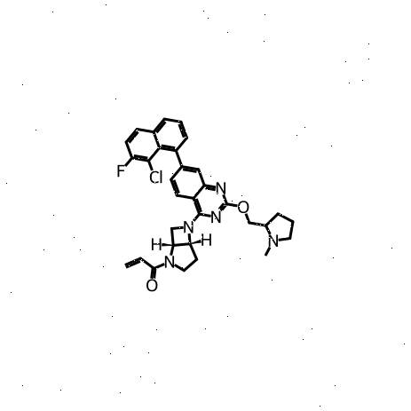 C=CC(=O)N1CC[C@@H]2[C@H]1CN2c1nc(OCC2CCCN2C)nc2cc(-c3cccc4ccc(F)c(Cl)c34)ccc12